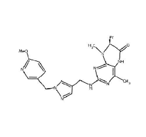 COc1ccc(Cn2cc(CNc3nc(C)c4c(n3)N(C)[C@@H](C(C)C)C(=O)N4)cn2)cn1